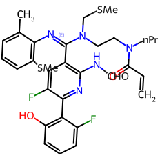 C=CC(=O)N(CCC)CCN(CSC)/C(=N/c1c(C)cccc1SC)c1cc(F)c(-c2c(O)cccc2F)nc1NC=O